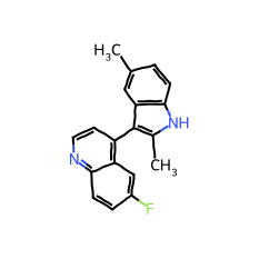 Cc1ccc2[nH]c(C)c(-c3ccnc4ccc(F)cc34)c2c1